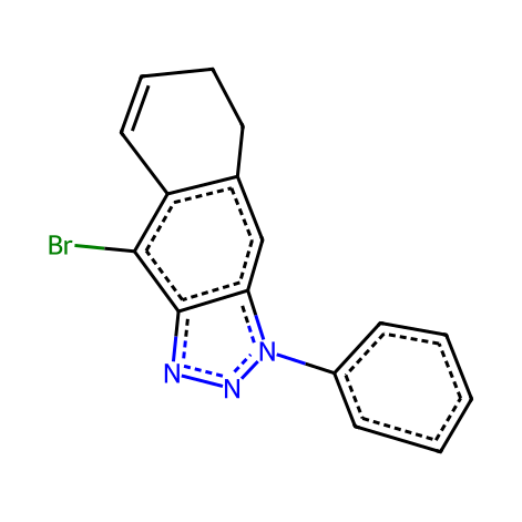 Brc1c2c(cc3c1nnn3-c1ccccc1)CCC=C2